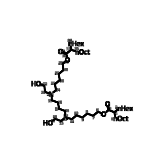 CCCCCCCCC(CCCCCC)C(=O)OCCCCCCN(CCO)CCCCN(CCO)CCCCCCOC(=O)C(CCCCCC)CCCCCCCC